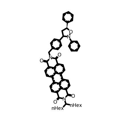 CCCCCCC(CCCCCC)N1C(=O)c2ccc3c4ccc5c6c(ccc(c7ccc(c2c37)C1=O)c64)C(=O)N(Cc1ccc(C2C[C@@H](c3ccccc3)ON2c2ccccc2)cc1)C5=O